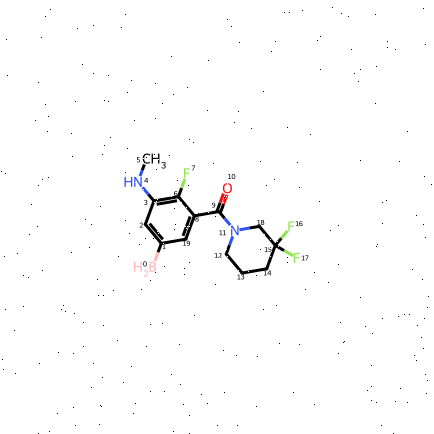 Bc1cc(NC)c(F)c(C(=O)N2CCCC(F)(F)C2)c1